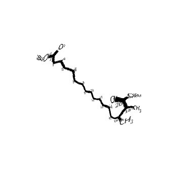 CC(C)COC(=O)CCCCCCCCCCCCCC(C)C(C)C(=O)OCC(C)C